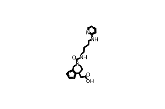 O=C(O)CC1CCN(C(=O)NCCCCCNc2ccccn2)Cc2ccccc21